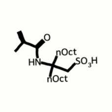 C=C(C)C(=O)NC(CCCCCCCC)(CCCCCCCC)CS(=O)(=O)O